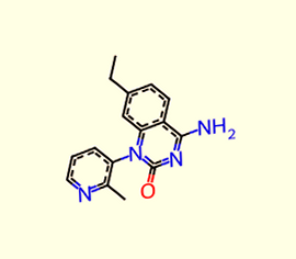 CCc1ccc2c(N)nc(=O)n(-c3cccnc3C)c2c1